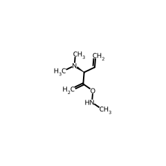 C=C[C@@H](C(=C)ONC)N(C)C